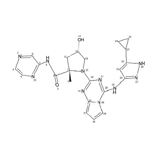 C[C@@]1(C(=O)Nc2cnccn2)C[C@H](O)CN1c1nc(Nc2cc(C3CC3)[nH]n2)n2cccc2n1